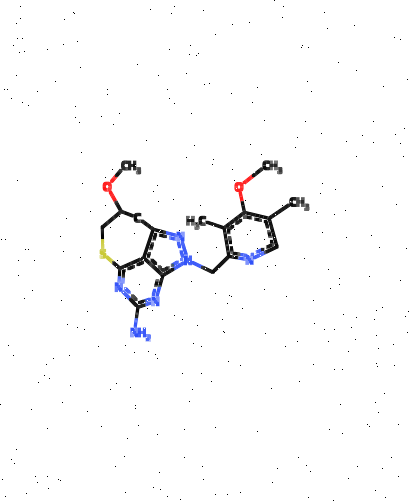 COc1c(C)cnc(Cn2nc3c4c(nc(N)nc42)SCC(OC)C3)c1C